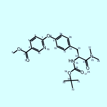 COC(=O)c1ccc(Oc2ccc(C[C@H](NC(=O)OC(C)(C)C)C(=O)N(C)C)cc2)nc1